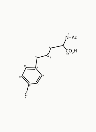 CC(=O)NC(CSCc1ccc(Cl)cc1)C(=O)O